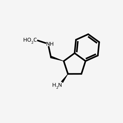 N[C@@H]1Cc2ccccc2[C@@H]1CNC(=O)O